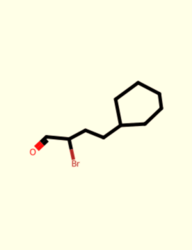 O=CC(Br)CCC1CCCCC1